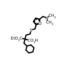 CCOC(=O)C(CCSCc1ccc(CN(C)C)o1)(CC1CCCCC1)C(=O)O